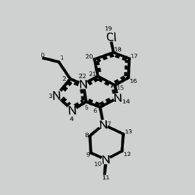 CCc1nnc2c(N3CCN(C)CC3)nc3ccc(Cl)cc3n12